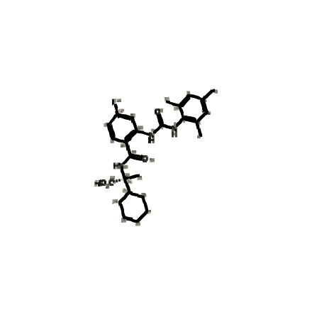 Cc1cc(C)c(NC(=O)Nc2cc(F)ccc2C(=O)N[C@](C)(C(=O)O)C2CCCCC2)c(C)c1